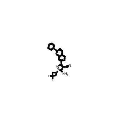 N#Cc1c(-c2ccc3ccc(-c4ccccc4)nc3c2)nn(C2CC(F)(F)C2)c1N